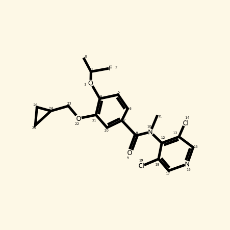 CC(F)Oc1ccc(C(=O)N(C)c2c(Cl)cncc2Cl)cc1OCC1CC1